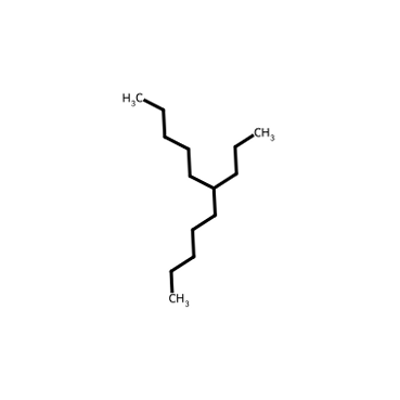 CCCCCC(CCC)CCCCC